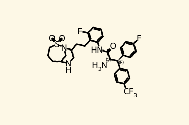 N[C@H](C(=O)Nc1cccc(F)c1CCC1CNC2CCCS(=O)(=O)N1C2)[C@@H](c1ccc(F)cc1)c1ccc(C(F)(F)F)cc1